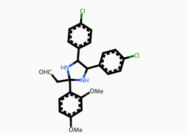 COc1ccc(C2(CC=O)NC(c3ccc(Cl)cc3)C(c3ccc(Cl)cc3)N2)c(OC)c1